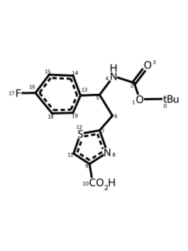 CC(C)(C)OC(=O)NC(Cc1nc(C(=O)O)cs1)c1ccc(F)cc1